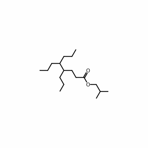 CCCC(CCC)C(CCC)CCC(=O)OCC(C)C